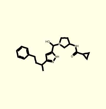 CC(CCc1ccccc1)c1cc(C(O)N2CCC(NC(=O)C3CC3)C2)[nH]n1